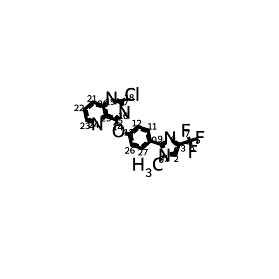 Cn1cc(C(F)(F)F)nc1-c1ccc(Oc2nc(Cl)nc3cccnc23)cc1